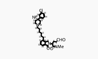 CNC(=O)C(CCC=O)N1Cc2c(CCCCCCN3CCC(C#N)(c4cccc(Cl)c4)CC3)cccc2C1=O